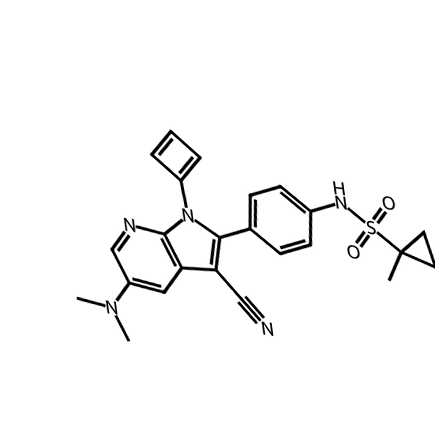 CN(C)c1cnc2c(c1)c(C#N)c(-c1ccc(NS(=O)(=O)C3(C)CC3)cc1)n2C1=CC=C1